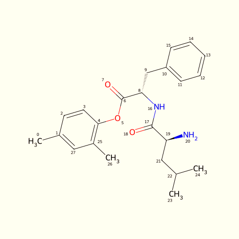 Cc1ccc(OC(=O)[C@H](Cc2ccccc2)NC(=O)[C@@H](N)CC(C)C)c(C)c1